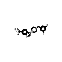 NC(=O)c1ccc2c(c1)ncn2N1CCN(Cc2cc(F)cc(F)c2)CC1